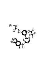 Cc1cc2[nH]ncc2cc1Nc1ccnc(-c2cccc(OCC(=O)NC(C)C)c2)n1.O=C(O)C(F)(F)F